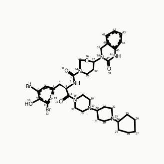 O=C(N[C@H](Cc1cc(Br)c(O)c(Br)c1)C(=O)N1CCN(C2CCN(C3CCCCC3)CC2)CC1)N1CCC(N2Cc3ccccc3NC2=O)CC1